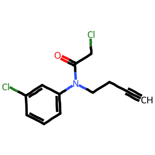 C#CCCN(C(=O)CCl)c1cccc(Cl)c1